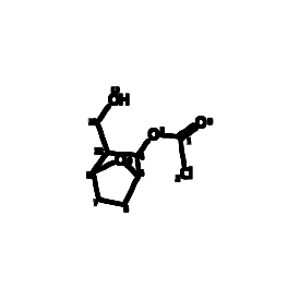 O=C(Cl)OC1C2CCC(O2)C1CO